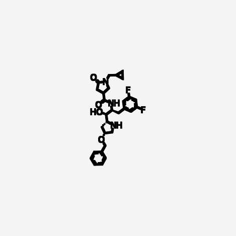 O=C(N[C@@H](Cc1cc(F)cc(F)c1)[C@H](O)[C@H]1C[C@@H](OCc2ccccc2)CN1)C1CC(=O)N(CC2CC2)C1